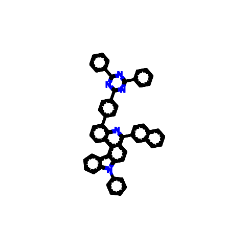 c1ccc(-c2nc(-c3ccccc3)nc(-c3ccc(-c4cccc5c4nc(-c4ccc6ccccc6c4)c4ccc6c(c7ccccc7n6-c6ccccc6)c45)cc3)n2)cc1